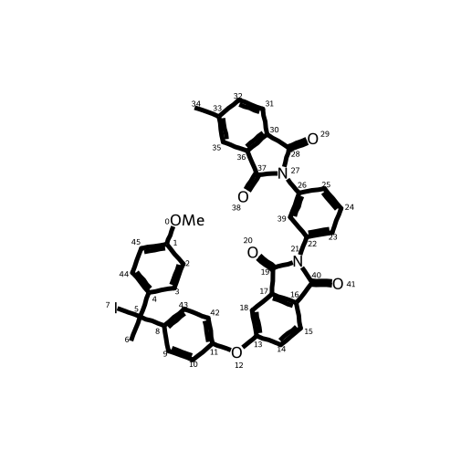 COc1ccc(C(C)(I)c2ccc(Oc3ccc4c(c3)C(=O)N(c3cccc(N5C(=O)c6ccc(C)cc6C5=O)c3)C4=O)cc2)cc1